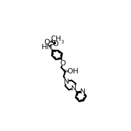 CS(=O)(=O)Nc1ccc(OC[C@H](O)CN2CCN(c3ccccn3)CC2)cc1